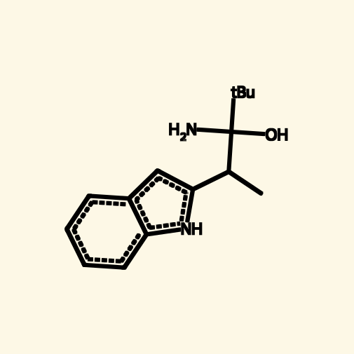 CC(c1cc2ccccc2[nH]1)C(N)(O)C(C)(C)C